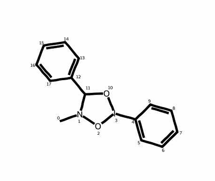 CN1OI(c2ccccc2)OC1c1ccccc1